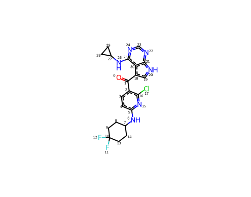 O=C(c1ccc(NC2CCC(F)(F)CC2)nc1Cl)c1c[nH]c2ncnc(NC3CC3)c12